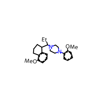 CCC(C1CCCc2c(OC)cccc21)N1CCN(c2ccccc2OC)CC1